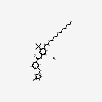 CCCCCCCCCCCCOc1ccc(NC(=O)c2cccc(C[n+]3csc(C)c3)c2)cc1C(C)(C)C.[Br-]